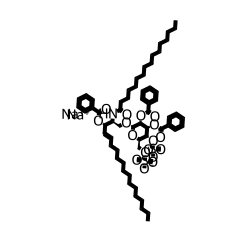 CCCCCCCCCCCCC/C=C/[C@@H](OC(=O)c1ccccc1)[C@H](CO[C@H]1O[C@H](COS(=O)(=O)[O-])[C@@H](OS(=O)(=O)[O-])[C@H](OC(=O)c2ccccc2)[C@@H]1OC(=O)c1ccccc1)NC(=O)CCCCCCCCCCCCCCC.[Na+].[Na+]